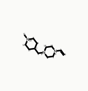 C=CN1CCN(CC2CCN(C)CC2)CC1